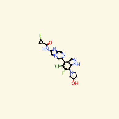 O=C(Nc1cn2cc(-c3c(Cl)c(F)c(N4CC[C@@H](O)C4)c4[nH]ncc34)ncc2n1)C1CC1F